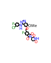 COc1cc2ncnc(Nc3ccc(F)c(Cl)c3)c2cc1OCc1cc2c(cc1F)C(=O)N(C1CCC(=O)NC1=O)C2=O